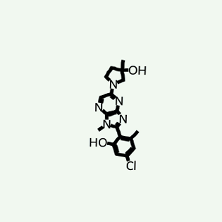 Cc1cc(Cl)cc(O)c1-c1nc2nc(N3CCC(C)(O)C3)cnc2n1C